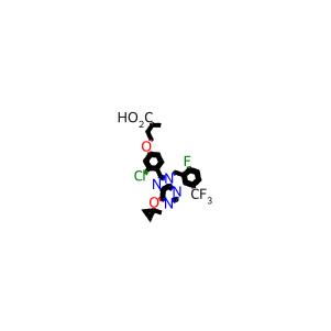 CC(CCOc1ccc(-c2nc3c(OC4(C)CC4)ncnc3n2Cc2cc(C(F)(F)F)ccc2F)c(Cl)c1)C(=O)O